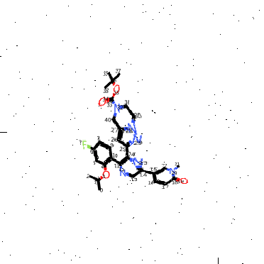 CC(C)Oc1cc(F)ccc1-c1ncc(-c2ccc(=O)n(C)c2)nc1-c1cc2n(n1)CCN(C(=O)OC(C)(C)C)C2